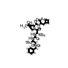 CC(=O)C(=O)C(CC1CCC1)NC(=O)[C@@H]1C2C(CN1C(=O)[C@@H](NC(=O)NC(CS(=O)(=O)Cc1ccccc1)C(C)(C)C)C(C)(C)C)C2(C)C